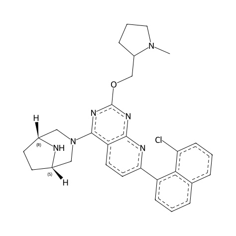 CN1CCCC1COc1nc(N2C[C@H]3CC[C@@H](C2)N3)c2ccc(-c3cccc4cccc(Cl)c34)nc2n1